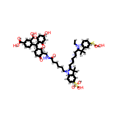 CC[N+]1=C(/C=C/C=C/C=C2/N(CCCCCC(=O)NCc3c4oc5cc(O)ccc5c(-c5ccc(C(=O)O)cc5C(=O)O)c-4ccc3=O)c3ccc(S(=O)(=O)O)cc3C2(C)C)C(C)(C)c2cc(SOO)ccc21